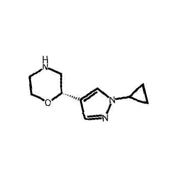 c1nn(C2CC2)cc1[C@H]1CNCCO1